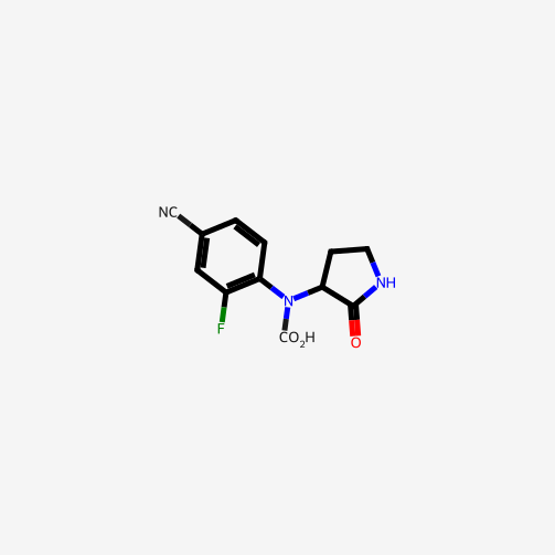 N#Cc1ccc(N(C(=O)O)C2CCNC2=O)c(F)c1